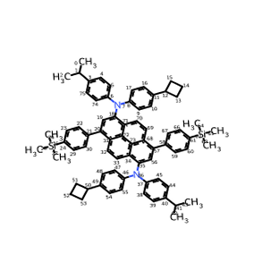 CC(C)c1ccc(N(c2ccc(C3CCC3)cc2)c2cc(-c3ccc([Si](C)(C)C)cc3)c3ccc4c(N(c5ccc(C(C)C)cc5)c5ccc(C6CCC6)cc5)cc(-c5ccc([Si](C)(C)C)cc5)c5ccc2c3c54)cc1